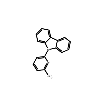 Bc1cccc(-n2c3ccccc3c3ccccc32)n1